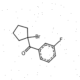 O=C(c1cccc(F)c1)C1(Br)CCCC1